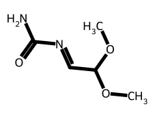 COC(C=NC(N)=O)OC